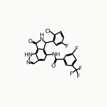 O=C(Nc1cc2cn[nH]c2c2c1C(c1cc(F)ccc1Cl)NC2=O)c1cc(F)cc(C(F)(F)F)c1